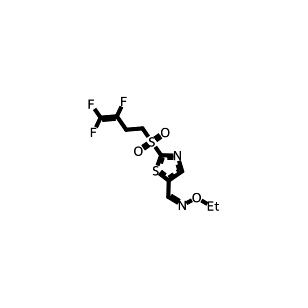 CCO/N=C\c1cnc(S(=O)(=O)CCC(F)=C(F)F)s1